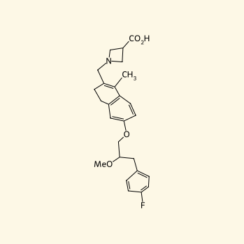 COC(COc1ccc2c(c1)CCC(CN1CC(C(=O)O)C1)=C2C)Cc1ccc(F)cc1